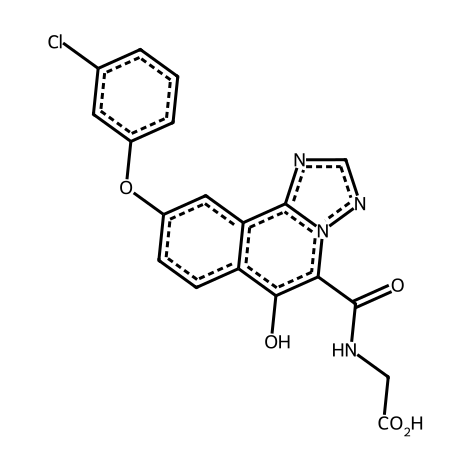 O=C(O)CNC(=O)c1c(O)c2ccc(Oc3cccc(Cl)c3)cc2c2ncnn12